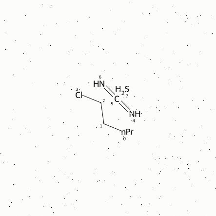 CCCCCCl.N=C=N.S